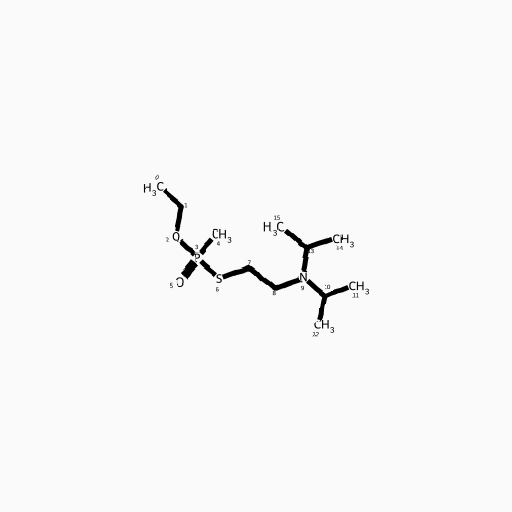 CCOP(C)(=O)SCCN(C(C)C)C(C)C